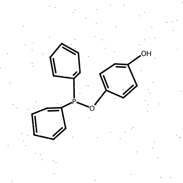 Oc1ccc(OP(c2ccccc2)c2ccccc2)cc1